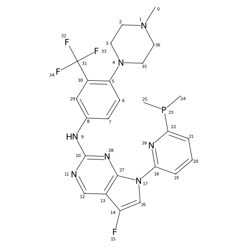 CN1CCN(c2ccc(Nc3ncc4c(F)cn(-c5cccc(P(C)C)n5)c4n3)cc2C(F)(F)F)CC1